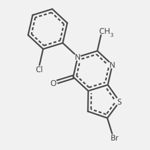 Cc1nc2sc(Br)cc2c(=O)n1-c1ccccc1Cl